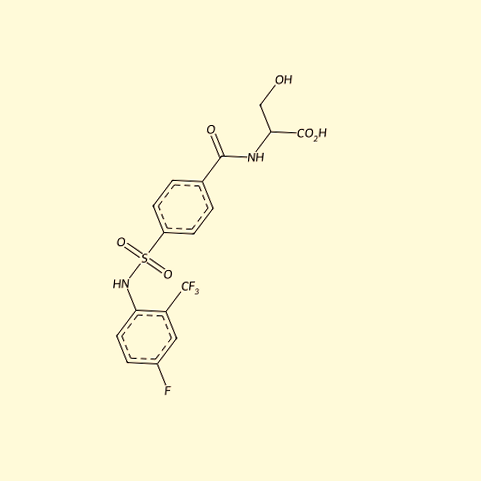 O=C(NC(CO)C(=O)O)c1ccc(S(=O)(=O)Nc2ccc(F)cc2C(F)(F)F)cc1